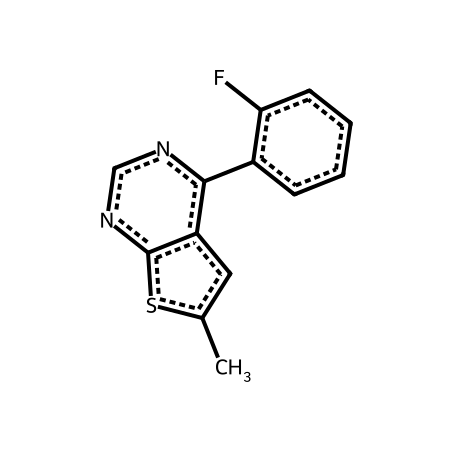 Cc1cc2c(-c3ccccc3F)ncnc2s1